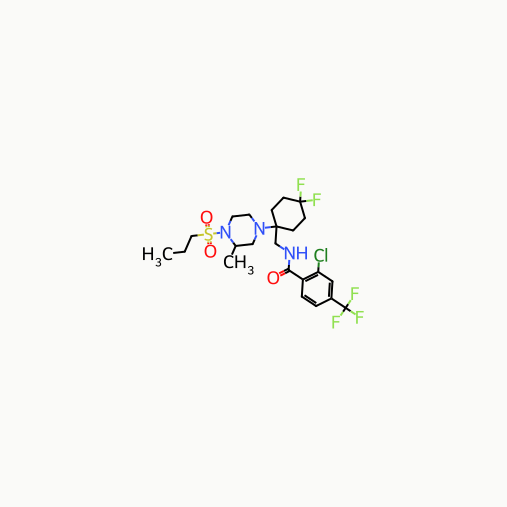 CCCS(=O)(=O)N1CCN(C2(CNC(=O)c3ccc(C(F)(F)F)cc3Cl)CCC(F)(F)CC2)CC1C